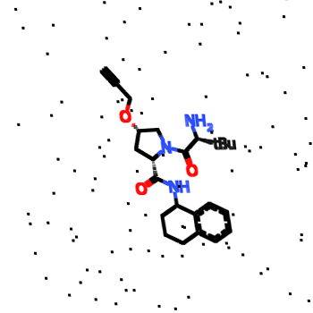 C#CCO[C@H]1C[C@@H](C(=O)NC2CCCc3ccccc32)N(C(=O)[C@@H](N)C(C)(C)C)C1